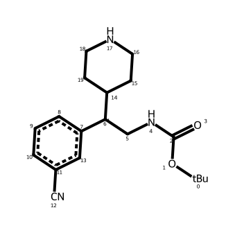 CC(C)(C)OC(=O)NC[C](c1cccc(C#N)c1)C1CCNCC1